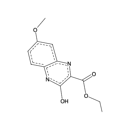 CCOC(=O)c1nc2cc(OC)ccc2nc1O